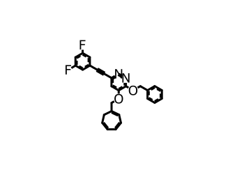 Fc1cc(F)cc(C#Cc2cc(OCC3=CC=CC=CC3)c(OCc3ccccc3)nn2)c1